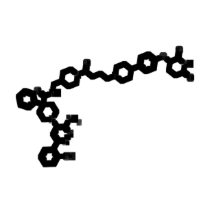 Nc1nnc(-c2ccccc2O)cc1N1CCC(C(=O)NCC2CCN(C(=O)CCCN3CCC(c4ccc(OC5CCC(=O)NC5=O)cc4)CC3)CC2)(c2ccccc2)CC1